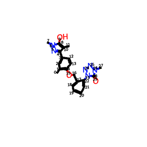 Cc1cc(-c2nn(C)c(O)c2C)ccc1OCc1ccccc1-n1nnn(C)c1=O